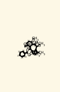 COC1C(=O)[C@]2(C)C(OC)CC3OC[C@H]3[C@H]2C(OC(=O)c2ccccc2)[C@]2(O)CCC(C)=C1C2(C)C